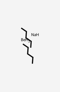 CCCCC.CCCCC.[BeH2].[NaH]